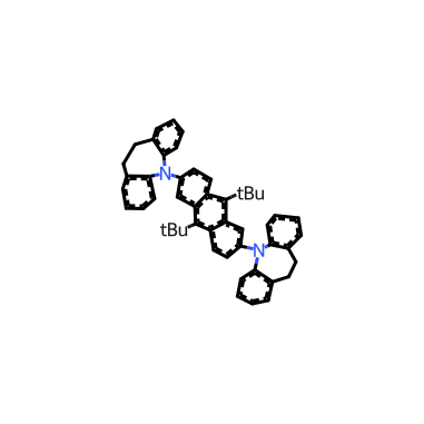 CC(C)(C)c1c2ccc(N3c4ccccc4CCc4ccccc43)cc2c(C(C)(C)C)c2ccc(N3c4ccccc4CCc4ccccc43)cc12